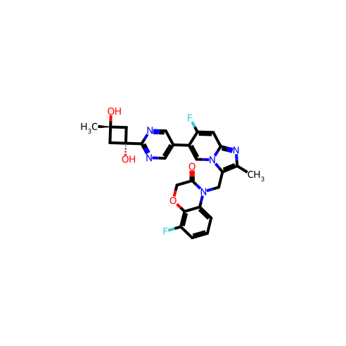 Cc1nc2cc(F)c(-c3cnc([C@]4(O)C[C@@](C)(O)C4)nc3)cn2c1CN1C(=O)COc2c(F)cccc21